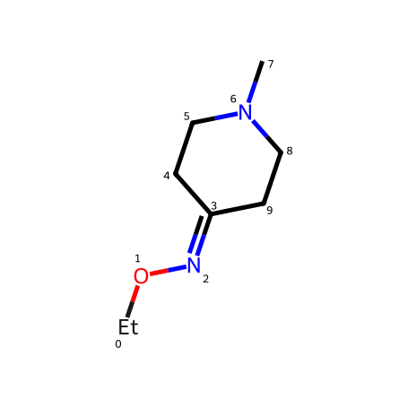 CCON=C1CCN(C)CC1